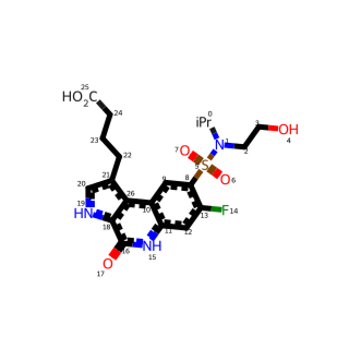 CC(C)N(CCO)S(=O)(=O)c1cc2c(cc1F)[nH]c(=O)c1[nH]cc(CCCC(=O)O)c12